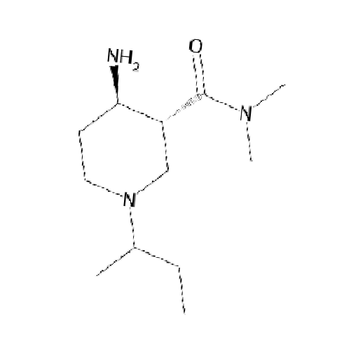 CCC(C)N1CC[C@@H](N)[C@H](C(=O)N(C)C)C1